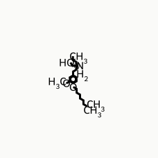 CCC[C@@](N)(CO)CCc1ccc(OCCCCCCC(C)C)c(OC)c1